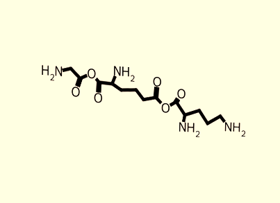 NCCCC(N)C(=O)OC(=O)CCCC(N)C(=O)OC(=O)CN